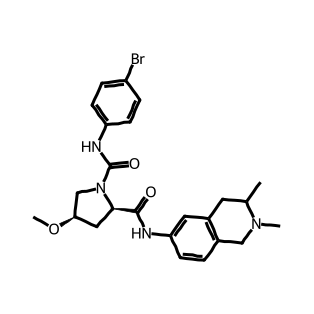 CO[C@@H]1C[C@H](C(=O)Nc2ccc3c(c2)CC(C)N(C)C3)N(C(=O)Nc2ccc(Br)cc2)C1